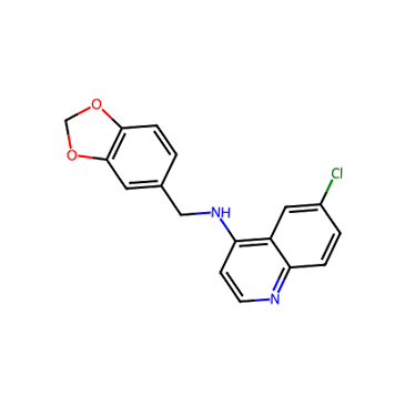 Clc1ccc2nccc(NCc3ccc4c(c3)OCO4)c2c1